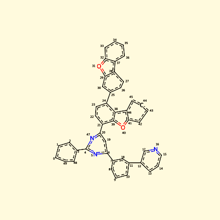 c1ccc(-c2nc(-c3cccc(-c4cccnc4)c3)cc(-c3ccc(-c4ccc5c(c4)oc4ccccc45)c4c3oc3ccccc34)n2)cc1